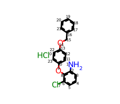 Cl.Nc1cccc(Cl)c1Oc1ccc(OCc2ccccc2)cc1